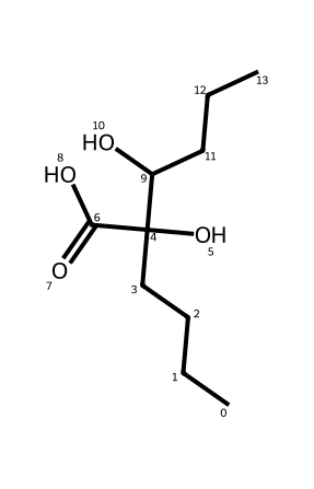 CCCCC(O)(C(=O)O)C(O)CCC